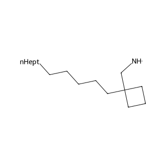 CCCCCCCCCCCCC1(C[NH])CCC1